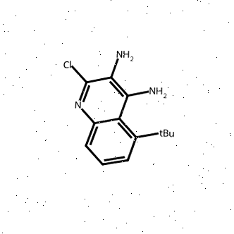 CC(C)(C)c1cccc2nc(Cl)c(N)c(N)c12